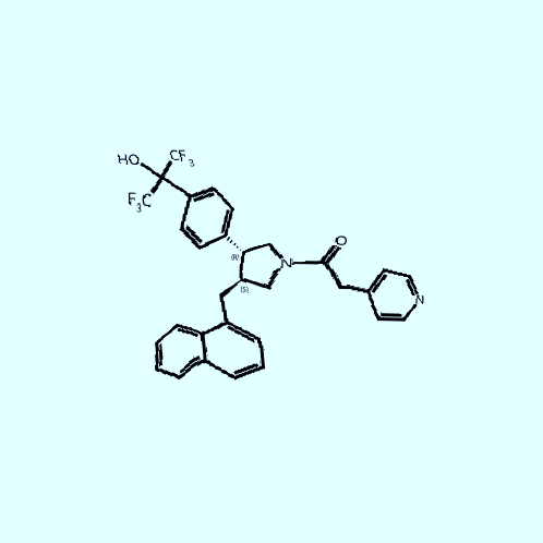 O=C(Cc1ccncc1)N1C[C@@H](Cc2cccc3ccccc23)[C@H](c2ccc(C(O)(C(F)(F)F)C(F)(F)F)cc2)C1